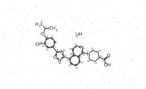 CC(C)Oc1ccc(-c2nc(-c3cccc4c(N5CCC(C(=O)O)CC5)nccc34)no2)cc1Cl.[LiH]